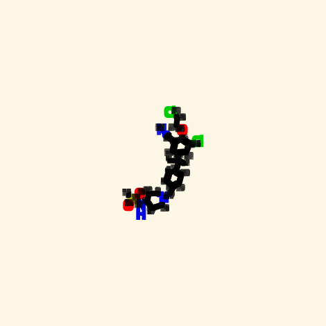 CC(C)(c1ccc(CN2CCC(NS(C)(=O)=O)CC2)cc1)c1cc(Cl)c(OCCCl)c(C#N)c1